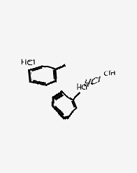 Cc1ccccc1.Cc1ccccc1.Cl.Cl.Cl.Cl